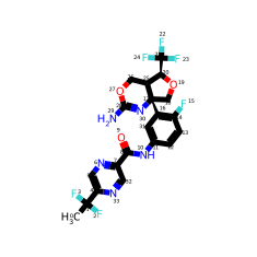 CC(F)(F)c1cnc(C(=O)Nc2ccc(F)c([C@]34CO[C@H](C(F)(F)F)C3COC(N)=N4)c2)cn1